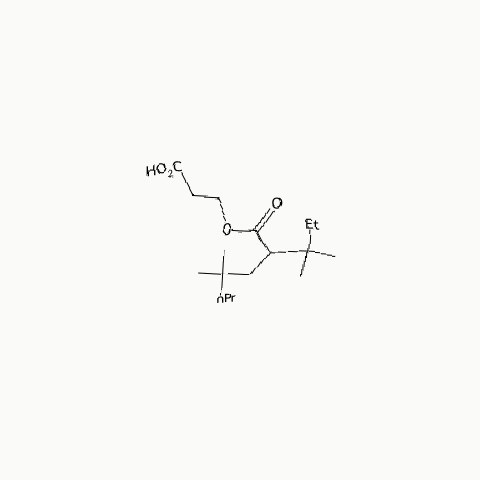 CCCC(C)(C)CC(C(=O)OCCC(=O)O)C(C)(C)CC